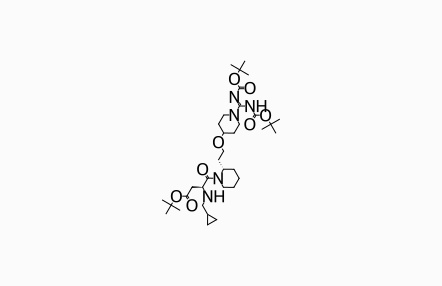 CC(C)(C)OC(=O)C[C@H](NCC1CC1)C(=O)N1CCCC[C@H]1CCOC1CCN(C(=NC(=O)OC(C)(C)C)NC(=O)OC(C)(C)C)CC1